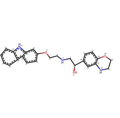 O[C@@H](CNCCOc1ccc2c(c1)[nH]c1ccccc12)c1ccc2c(c1)NCCO2